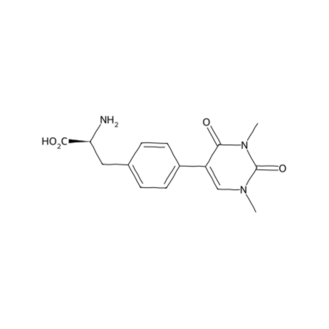 Cn1cc(-c2ccc(C[C@H](N)C(=O)O)cc2)c(=O)n(C)c1=O